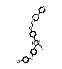 CC(C)CC1=NC(c2ccc(OCCN3CCN(c4ccncc4)CC3)cc2)=NC1c1ccc(Oc2ccc(Cl)cc2)cc1